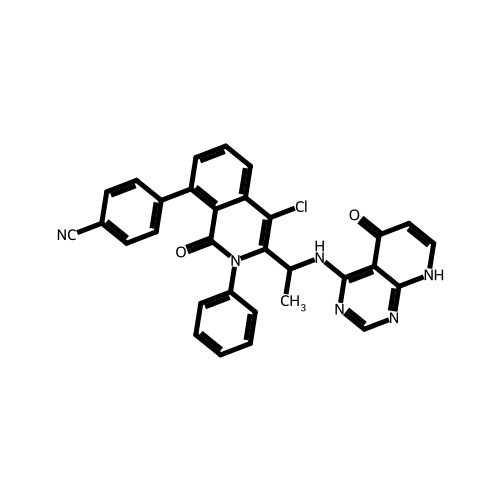 CC(Nc1ncnc2[nH]ccc(=O)c12)c1c(Cl)c2cccc(-c3ccc(C#N)cc3)c2c(=O)n1-c1ccccc1